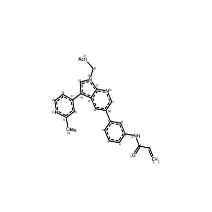 C=CC(=O)Nc1cccc(-c2cnc3c(c2)c(-c2ccnc(OC)c2)cn3COC(C)=O)c1